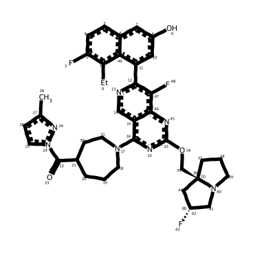 CCc1c(F)ccc2cc(O)cc(-c3ncc4c(N5CCCC(C(=O)n6ccc(C)n6)CC5)nc(OC[C@@]56CCCN5C[C@H](F)C6)nc4c3F)c12